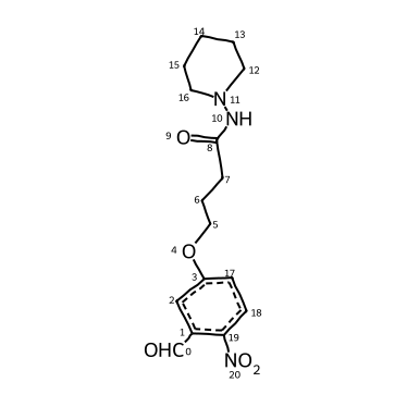 O=Cc1cc(OCCCC(=O)NN2CCCCC2)ccc1[N+](=O)[O-]